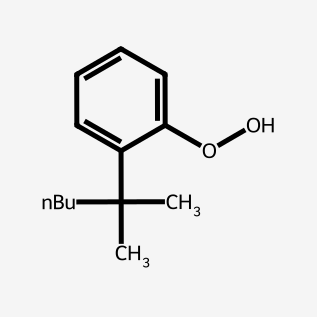 CCCCC(C)(C)c1ccccc1OO